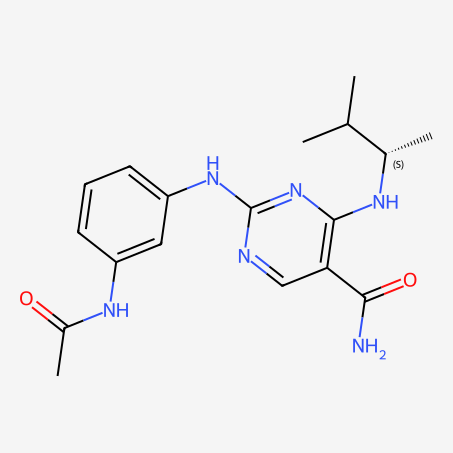 CC(=O)Nc1cccc(Nc2ncc(C(N)=O)c(N[C@@H](C)C(C)C)n2)c1